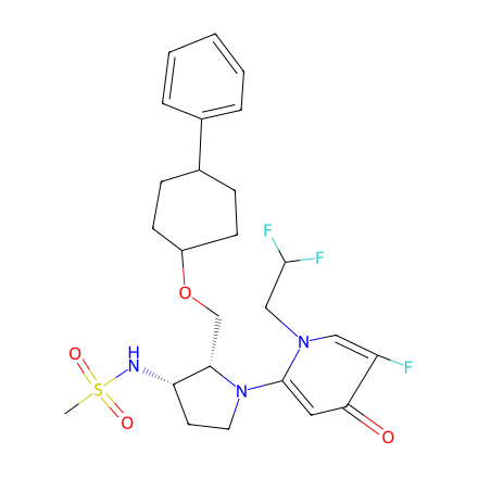 CS(=O)(=O)N[C@H]1CCN(c2cc(=O)c(F)cn2CC(F)F)[C@H]1COC1CCC(c2ccccc2)CC1